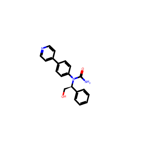 NC(=O)N(c1ccc(-c2ccncc2)cc1)[C@H](CO)c1ccccc1